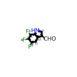 O=Cc1c[nH]c2c(F)c(F)c(F)cc12